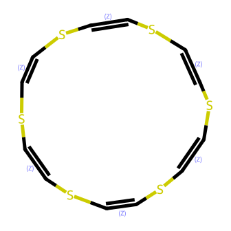 C1=C\S/C=C\S/C=C\S/C=C\S/C=C\S/C=C\S/1